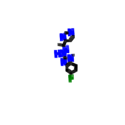 C/C(=N\Nc1nc2cc(F)ccc2n1C)c1ccncn1